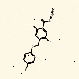 [N-]=[N+]=NC(=O)c1cc(Cl)c(COc2ccc(F)cn2)cc1F